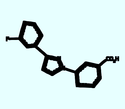 O=C(O)c1cccc(-n2ccc(-c3cccc(F)c3)n2)c1